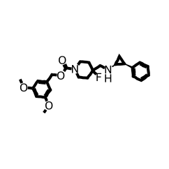 COc1cc(COC(=O)N2CCC(F)(CN[C@@H]3C[C@H]3c3ccccc3)CC2)cc(OC)c1